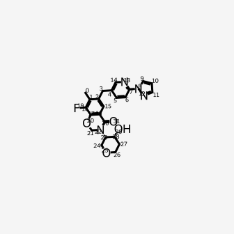 Cc1c(Cc2ccc(-n3cccn3)nc2)cc2c(c1F)OCN([C@H]1COCC[C@@H]1O)C2=O